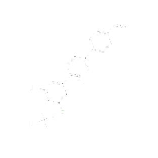 C=Cc1ccc(-c2ccc(-c3cc(F)c(OC(F)(F)F)c(F)c3)c(F)c2)cc1